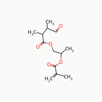 C=C(C)C(=O)OC(C)COC(=O)C(C)C(C)C=O